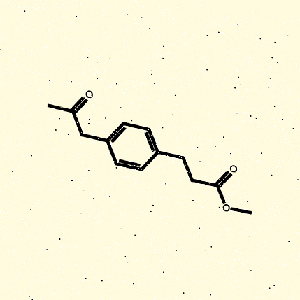 COC(=O)CCc1ccc(CC(C)=O)cc1